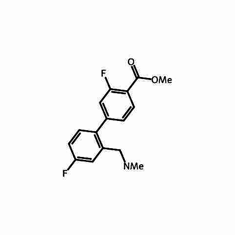 CNCc1cc(F)ccc1-c1ccc(C(=O)OC)c(F)c1